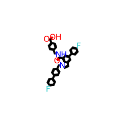 O=C(O)c1ccc(CNC(=O)c2cc(-c3ccc(F)cc3)cc3ccn(Cc4ccc(-c5ccc(F)cc5)cc4)c23)cc1